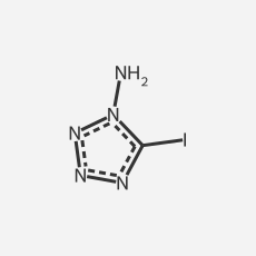 Nn1nnnc1I